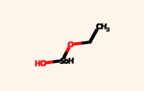 CC[O][SbH][OH]